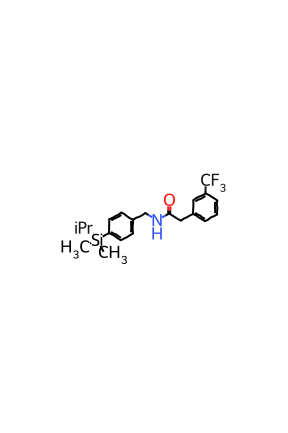 CC(C)[Si](C)(C)c1ccc(CNC(=O)Cc2cccc(C(F)(F)F)c2)cc1